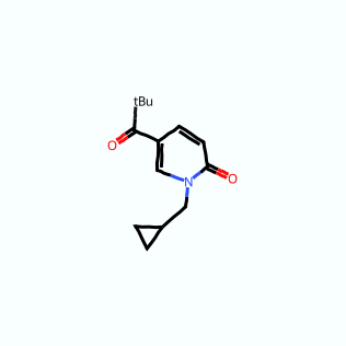 CC(C)(C)C(=O)c1ccc(=O)n(CC2CC2)c1